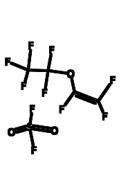 FC(F)=C(F)OC(F)(F)C(F)(F)F.O=S(=O)(F)F